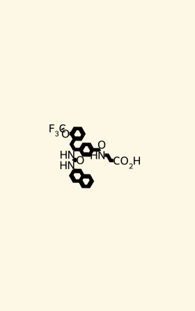 O=C(O)CCNC(=O)c1ccc(C(Cc2ccccc2OC(F)(F)F)NC(=O)Nc2ccc3ccccc3c2)cc1